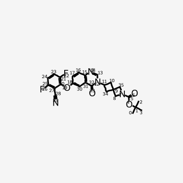 CC(C)(C)OC(=O)N1CC2(CC(n3cnc4ccc(Oc5c(F)ccc(F)c5C#N)cc4c3=O)C2)C1